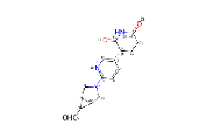 O=CC1C2CN(c3ccc([C@H]4CCC(=O)NC4=O)cn3)CC12